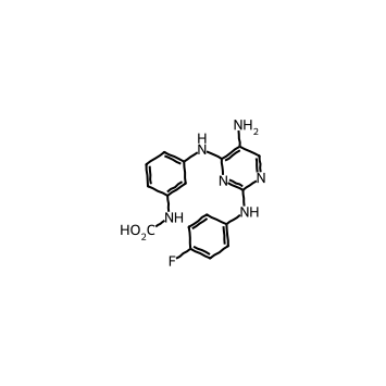 Nc1cnc(Nc2ccc(F)cc2)nc1Nc1cccc(NC(=O)O)c1